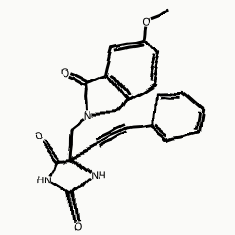 COc1ccc2c(c1)C(=O)N(CC1(C#Cc3ccccc3)NC(=O)NC1=O)C2